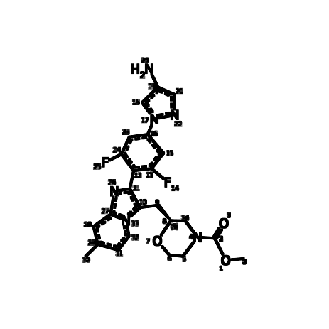 COC(=O)N1CCO[C@@H](Cc2c(-c3c(F)cc(-n4cc(N)cn4)cc3F)nc3cc(C)ccn23)C1